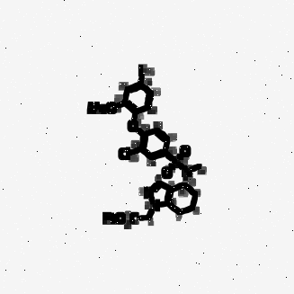 CCOC(=O)Cn1ncc2c1CCC[C@H]2N(C)S(=O)(=O)c1ccc(Oc2ccc(F)cc2OC)c(Cl)c1